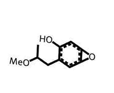 COC(C)Cc1cc2c(cc1O)O2